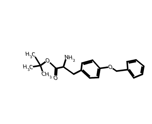 CC(C)(C)OC(=O)C(N)Cc1ccc(OCc2ccccc2)cc1